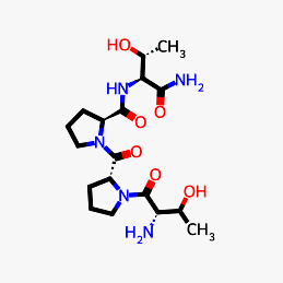 CC(O)[C@H](N)C(=O)N1CCC[C@@H]1C(=O)N1CCC[C@H]1C(=O)N[C@H](C(N)=O)[C@@H](C)O